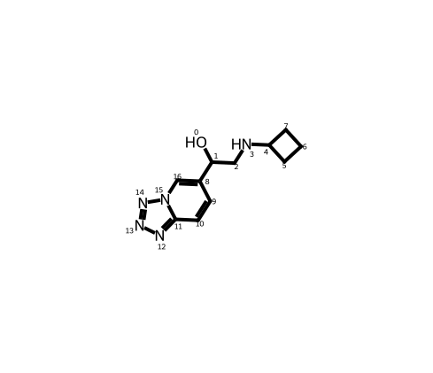 OC(CNC1CCC1)c1ccc2nnnn2c1